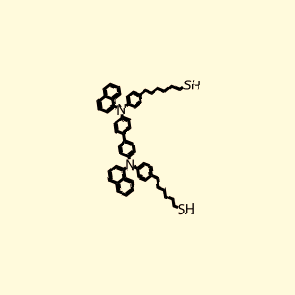 SCCCCCCc1ccc(N(c2ccc(-c3ccc(N(c4ccc(CCCCCCS)cc4)c4cccc5ccccc45)cc3)cc2)c2cccc3ccccc23)cc1